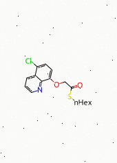 CCCCCCSC(=O)COc1ccc(Cl)c2cccnc12